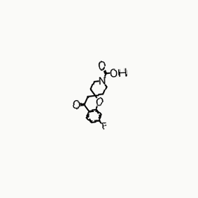 O=C1CC2(CCN(C(=O)O)CC2)Oc2cc(F)ccc21